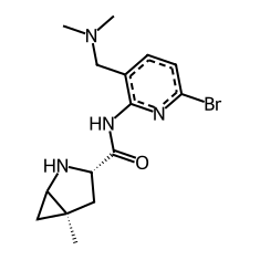 CN(C)Cc1ccc(Br)nc1NC(=O)[C@@H]1C[C@@]2(C)CC2N1